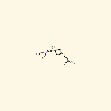 CCN(CC)CC=C(C)c1ccc(SCCC(C)C)cc1